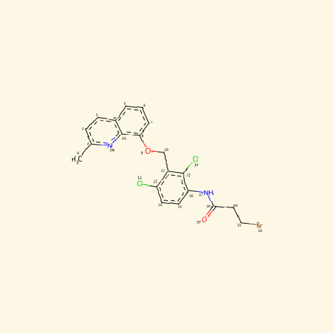 Cc1ccc2cccc(OCc3c(Cl)ccc(NC(=O)CCBr)c3Cl)c2n1